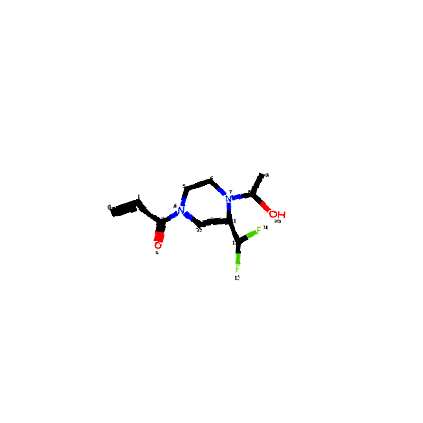 C=CC(=O)N1CCN(C(C)O)C(C(F)F)C1